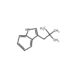 CC(C)(C)Cc1c[nH]c2ccccc12